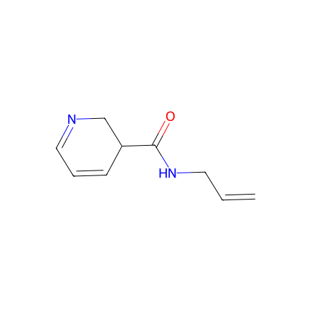 C=CCNC(=O)C1C=CC=NC1